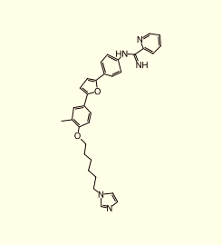 Cc1cc(-c2ccc(-c3ccc(NC(=N)c4ccccn4)cc3)o2)ccc1OCCCCCCn1ccnc1